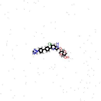 O[C@@H]1CO[C@H]2[C@@H]1OC[C@H]2Oc1cc2nc(-c3ccc(-c4ccc(-n5cncn5)cc4)cc3)c(Cl)cc2[nH]1